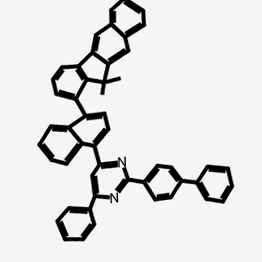 CC1(C)c2cc3ccccc3cc2-c2cccc(-c3ccc(-c4cc(-c5ccccc5)nc(-c5ccc(-c6ccccc6)cc5)n4)c4ccccc34)c21